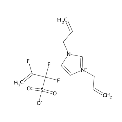 C=C(F)C(F)(F)S(=O)(=O)[O-].C=CCn1cc[n+](CC=C)c1